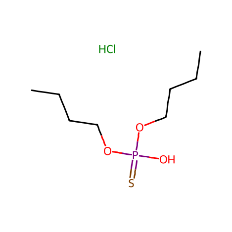 CCCCOP(O)(=S)OCCCC.Cl